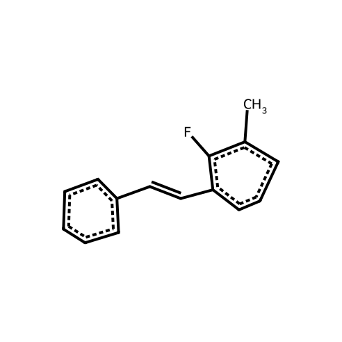 Cc1cccc(C=Cc2ccccc2)c1F